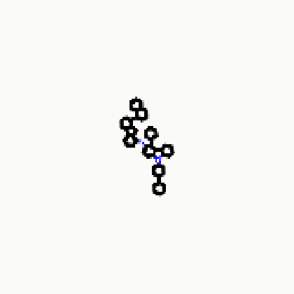 c1ccc(-c2ccc(-n3c4ccccc4c4c5c6ccccc6n(-c6cccc7c6Cc6c-7cccc6-c6cccc7ccccc67)c5ccc43)cc2)cc1